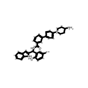 NC1CCN(c2ccc(-c3cccc(C(=O)NC(c4cc5ccccc5[nH]4)c4cc(F)ccc4O)c3)cc2)CC1